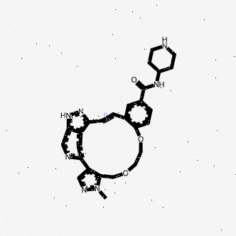 Cn1ncc2c1COCCOc1ccc(C(=O)NC3CCNCC3)cc1/C=C/c1n[nH]c3cnc-2cc13